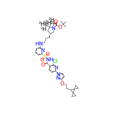 [2H]C([2H])([2H])C1(C([2H])([2H])[2H])C[C@H](CCCNc2cccc(S(=O)(=O)NC(=O)c3ccc(-n4ccc(OCCC5C6(CC6)C56CC6)n4)nc3Cl)n2)CN1C(=O)OC(C)(C)C